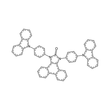 O=c1n(-c2ccc(-n3c4ccccc4c4ccccc43)cc2)c2c3ccccc3c3ccccc3c2n1-c1ccc(-n2c3ccccc3c3ccccc32)cc1